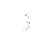 c1cn2c(-c3cn[nH]c3)cnc2c(Nc2cnc(CN3CCCC3)nc2)n1